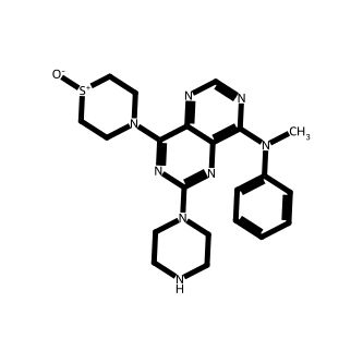 CN(c1ccccc1)c1ncnc2c(N3CC[S+]([O-])CC3)nc(N3CCNCC3)nc12